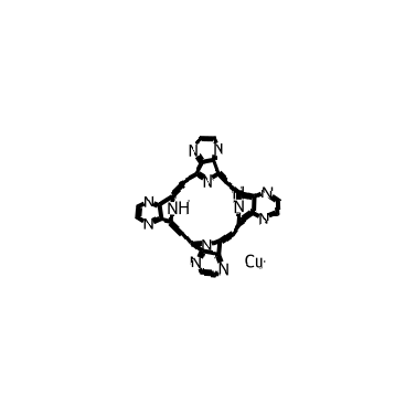 [Cu].c1cnc2c(n1)-c1cc3[nH]c(cc4nc(cc5[nH]c(cc-2n1)c1nccnc51)-c1nccnc1-4)c1nccnc31